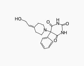 O=C1NC(=O)C(c2ccccc2)(N2CCC(=CCO)CC2)C(=O)N1